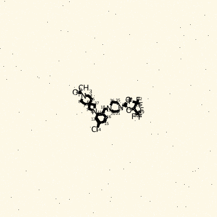 CC(=O)N1CCC2(CC1)CN(c1cc(Cl)ccc1CN1CCN(C(=O)OC(C(F)(F)F)C(F)(F)F)CC1)C2